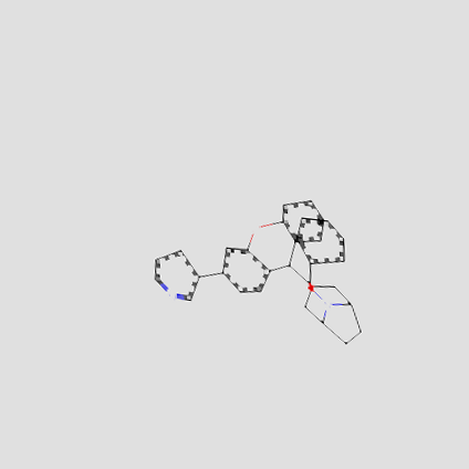 c1ccc(CN2C3CCC2CC(C2c4ccccc4Oc4cc(-c5cccnc5)ccc42)C3)cc1